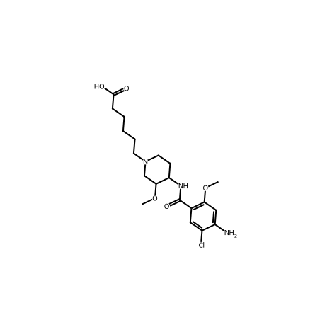 COc1cc(N)c(Cl)cc1C(=O)NC1CCN(CCCCCC(=O)O)CC1OC